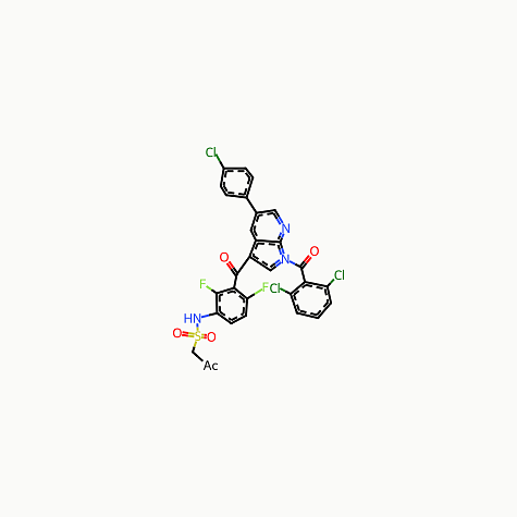 CC(=O)CS(=O)(=O)Nc1ccc(F)c(C(=O)c2cn(C(=O)c3c(Cl)cccc3Cl)c3ncc(-c4ccc(Cl)cc4)cc23)c1F